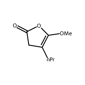 CCCC1=C(OC)OC(=O)C1